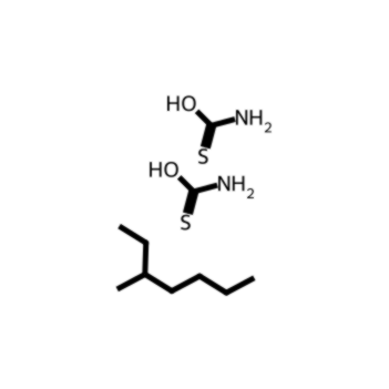 CCCCC(C)CC.NC(O)=S.NC(O)=S